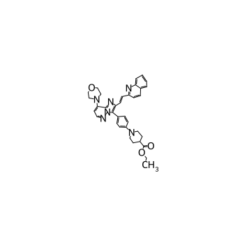 CCOC(=O)C1CCN(c2ccc(-c3c(/C=C/c4ccc5ccccc5n4)nc4c(N5CCOCC5)ccnn34)cc2)CC1